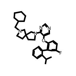 CC(C)c1ccccc1-c1cc(F)ccc1Oc1cncnc1N1CCC2(CCN(CC3CCCCC3)C2)C1